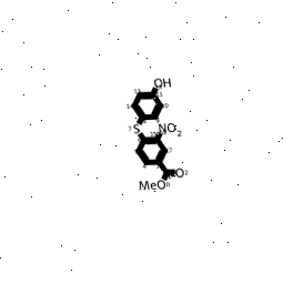 COC(=O)c1ccc(Sc2ccc(O)cc2)c([N+](=O)[O-])c1